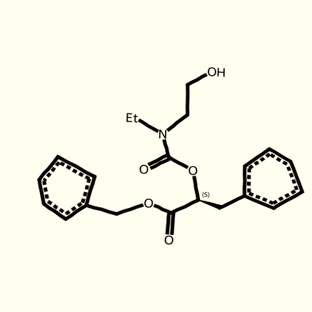 CCN(CCO)C(=O)O[C@@H](Cc1ccccc1)C(=O)OCc1ccccc1